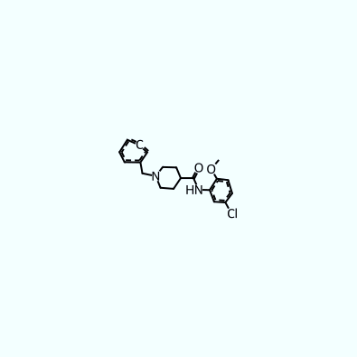 COc1ccc(Cl)cc1NC(=O)C1CCN(Cc2ccccc2)CC1